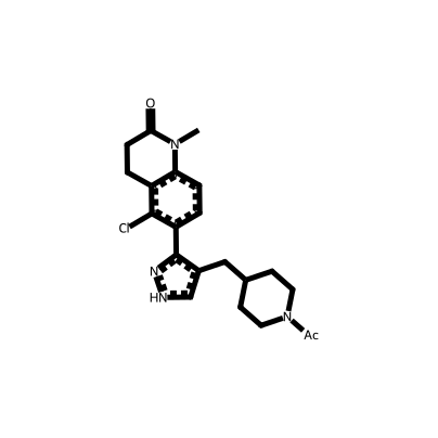 CC(=O)N1CCC(Cc2c[nH]nc2-c2ccc3c(c2Cl)CCC(=O)N3C)CC1